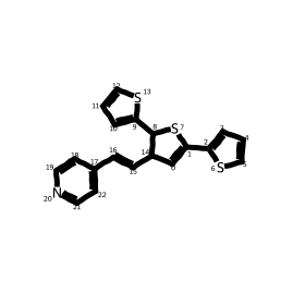 C1=C(c2cccs2)SC(c2cccs2)C1/C=C/c1ccncc1